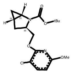 COc1ccc(Cl)c(OC[C@H]2C[C@@H]3C[C@@H]3N2C(=O)OC(C)(C)C)n1